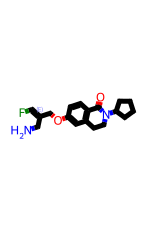 NC/C(=C\F)COc1ccc2c(c1)CCN(C1CCCC1)C2=O